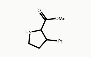 COC(=O)C1NCCC1C(C)C